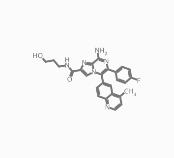 Cc1ccnc2ccc(-c3c(-c4ccc(F)cc4)nc(N)c4nc(C(=O)NCCCO)cn34)cc12